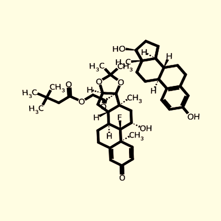 CC(C)(C)CC(=O)OCC(=O)[C@@]12OC(C)(C)O[C@@H]1C[C@H]1[C@@H]3CCC4=CC(=O)C=C[C@]4(C)[C@@]3(F)[C@@H](O)C[C@@]12C.C[C@]12CC[C@@H]3c4ccc(O)cc4CC[C@H]3[C@@H]1CC[C@@H]2O